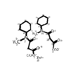 CN(C(=O)CC(=O)C(=O)[O-])C1CCCCC1.CN(C(=O)CC(=O)C(=O)[O-])C1CCCCC1.[Zn+2]